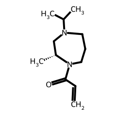 C=CC(=O)N1CCCN(C(C)C)C[C@H]1C